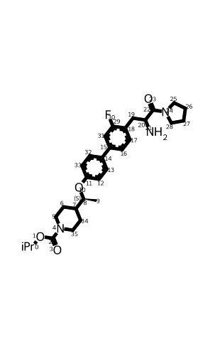 CC(C)OC(=O)N1CCC([C@H](C)Oc2ccc(-c3ccc(CC(N)C(=O)N4CCCC4)c(F)c3)cc2)CC1